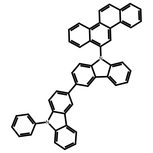 c1ccc(-n2c3ccccc3c3cc(-c4ccc5c(c4)c4ccccc4n5-c4cc5c6ccccc6ccc5c5ccccc45)ccc32)cc1